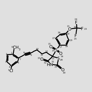 Cc1ccc(Cl)cc1C#CCCCC1(S(=O)(=O)c2ccc(OC(F)(F)F)cc2)SC(=O)NC1=O